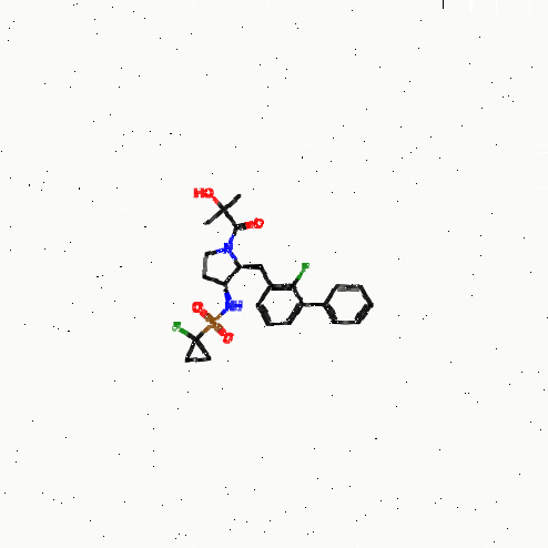 CC(C)(O)C(=O)N1CC[C@H](NS(=O)(=O)C2(F)CC2)[C@@H]1Cc1cccc(-c2ccccc2)c1F